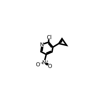 O=[N+]([O-])c1cnc(Cl)c(C2=CC2)c1